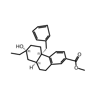 CC[C@@]1(O)CC[C@@]2(Cc3ccccc3)c3ccc(C(=O)OC)cc3CC[C@H]2C1